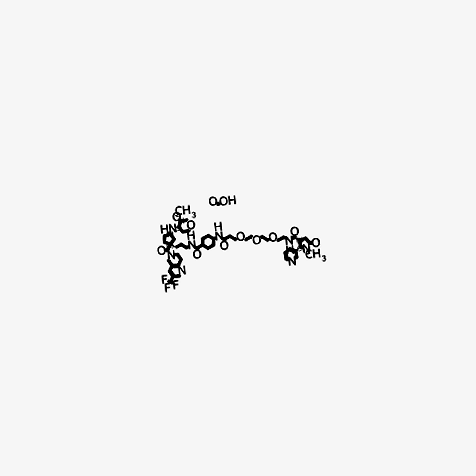 CO[C@@H]1COCC[C@@H]1N[C@@H]1CC[C@](CCCNC(=O)C2CCC(NC(=O)CCOCCOCCOCCNC(=O)[C@H]3CC(=O)N(C)[C@@H]3c3cccnc3)CC2)(C(=O)N2CCc3ncc(C(F)(F)F)cc3C2)C1.O=CO